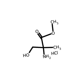 COC(=O)C(C)(N)CO.Cl